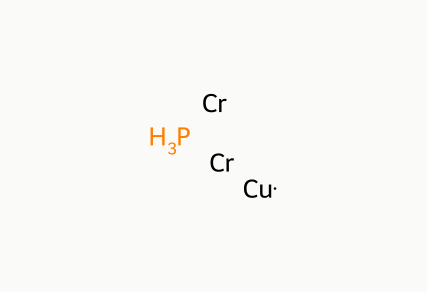 P.[Cr].[Cr].[Cu]